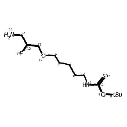 CC(C)(C)OC(=O)NCCCCCOCC(F)CN